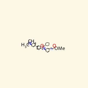 COC(=O)/C=C/c1cccc(N(CC23CCC(c4ccc(N(C)C)cc4)(CC2)CC3)C(=O)C2CCCCC2)c1